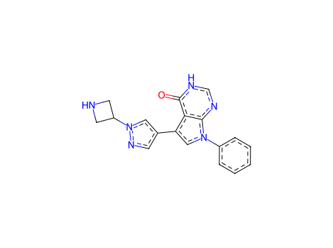 O=c1[nH]cnc2c1c(-c1cnn(C3CNC3)c1)cn2-c1ccccc1